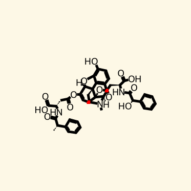 C[C@H](C(=O)N[C@@H](CC(=O)OC1=CC[C@@]2(OC(=O)C[C@H](NC(=O)[C@@H](O)c3ccccc3)C(=O)O)[C@H]3Cc4ccc(O)c5c4[C@@]2(CCN3C)[C@H]1O5)C(=O)O)c1ccccc1